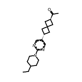 CCC1CCN(c2ncc([C@H]3CC4(C[C@H](C(C)=O)C4)C3)cn2)CC1